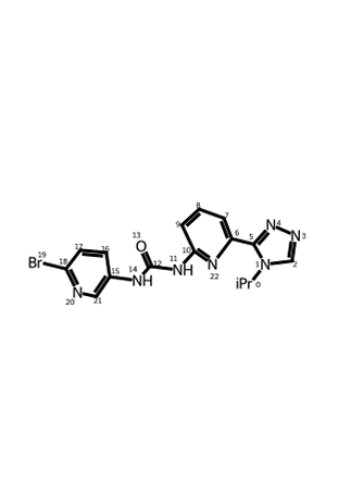 CC(C)n1cnnc1-c1cccc(NC(=O)Nc2ccc(Br)nc2)n1